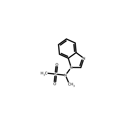 CN(n1cnc2ccccc21)S(C)(=O)=O